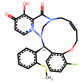 CSc1ccccc1[C@@H]1c2cccc(F)c2OC/C=C\CN2CN1n1ccc(=O)c(O)c1C2=O